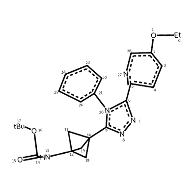 CCOc1ccc(-c2nnc(C34CC(NC(=O)OC(C)(C)C)(C3)C4)n2-c2ccccc2)nc1